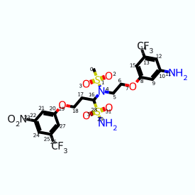 CS(=O)(=O)N(CCOc1cc(N)cc(C(F)(F)F)c1)C(CCOc1cc([N+](=O)[O-])cc(C(F)(F)F)c1)S(N)(=O)=O